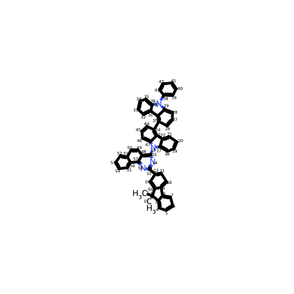 CC1(C)c2ccccc2-c2ccc(-c3nc(-n4c5ccccc5c5c(-c6cccc7c6c6ccccc6n7-c6ccccc6)cccc54)c4ccc5ccccc5c4n3)cc21